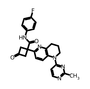 Cc1nccc(N2CCCc3nc(C4(C(=O)Nc5ccc(F)cc5)CC(=O)C4)ccc32)n1